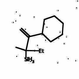 C=C(C1CCCCC1)C(C)([SiH3])CC